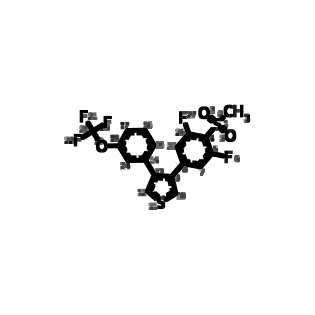 CS(=O)(=O)c1c(F)cc(-c2cscc2-c2cccc(OC(F)(F)F)c2)cc1F